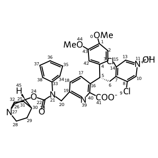 COc1ccc([C@H](Cc2c(Cl)c[n+](O)cc2Cl)c2ccc(CN(C(=O)O[C@H]3CN4CCC3CC4)c3ccccc3)nc2C(=O)[O-])cc1OC